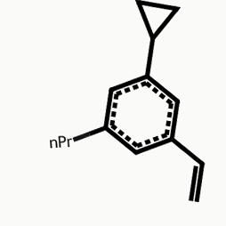 C=Cc1cc(CCC)cc(C2CC2)c1